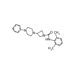 Cc1cccc(C)c1NC(=O)N1CC(N2CCN(c3ccccc3)CC2)C1